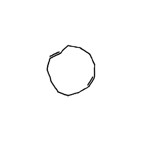 [CH]1C/C=C\CCCC/C=C/CCC1